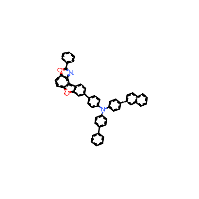 c1ccc(-c2ccc(N(c3ccc(-c4ccc5ccccc5c4)cc3)c3ccc(-c4ccc5c(c4)oc4ccc6oc(-c7ccccc7)nc6c45)cc3)cc2)cc1